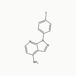 Nc1ccnc2c1cnn2-c1ccc(F)cc1